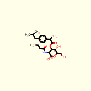 CCCC(=O)NC1C(OC(=O)C(C)c2ccc(CC(C)C)cc2)[C@H](O)C(CO)O[C@H]1O